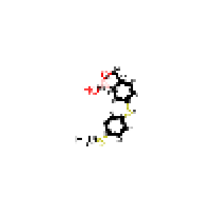 CSc1ccc(Sc2ccc3c(c2)B(O)OC3)cc1